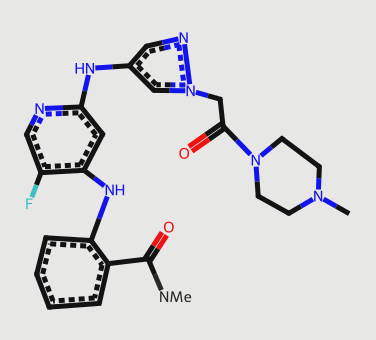 CNC(=O)c1ccccc1Nc1cc(Nc2cnn(CC(=O)N3CCN(C)CC3)c2)ncc1F